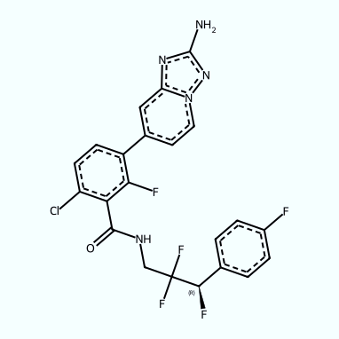 Nc1nc2cc(-c3ccc(Cl)c(C(=O)NCC(F)(F)[C@H](F)c4ccc(F)cc4)c3F)ccn2n1